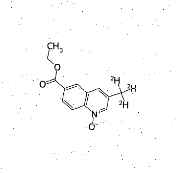 [2H]C([2H])([2H])c1cc2cc(C(=O)OCC)ccc2[n+]([O-])c1